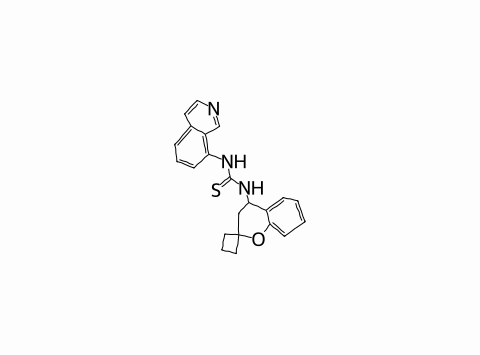 S=C(Nc1cccc2ccncc12)NC1CC2(CCC2)Oc2ccccc21